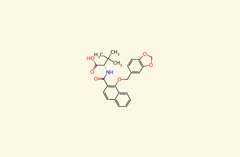 CC(C)(C)[C@H](NC(=O)c1ccc2ccccc2c1OCc1ccc2c(c1)OCO2)C(=O)O